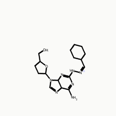 NC1=NC(N/N=C\C2CCCCC2)=NC2C1N=CN2C1CCC(CO)O1